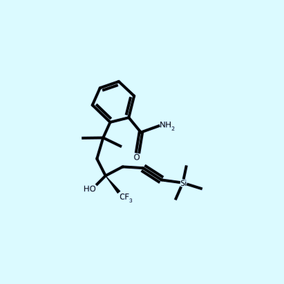 CC(C)(C[C@@](O)(CC#C[Si](C)(C)C)C(F)(F)F)c1ccccc1C(N)=O